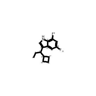 CCC(c1c[nH]c2c(F)cc(F)cc12)C1CCC1